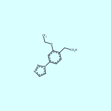 O=C(O)Cc1ccc(-n2ccnn2)cc1OCC(F)(F)F